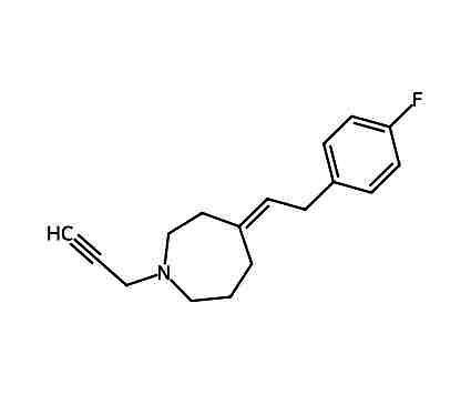 C#CCN1CCCC(=CCc2ccc(F)cc2)CC1